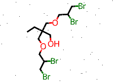 CCC(CO)(COCC(Br)CBr)COCC(Br)CBr